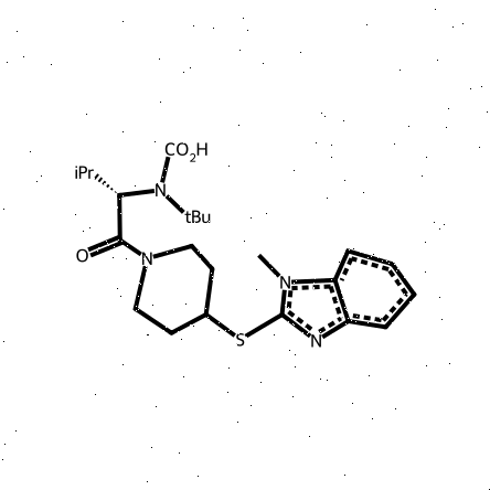 CC(C)[C@@H](C(=O)N1CCC(Sc2nc3ccccc3n2C)CC1)N(C(=O)O)C(C)(C)C